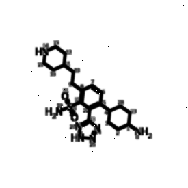 NC1CCC(c2ccc(CCC3CCNCC3)c(S(N)(=O)=O)c2-c2nn[nH]n2)CC1